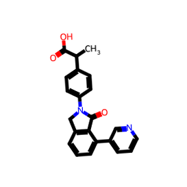 CC(C(=O)O)c1ccc(N2Cc3cccc(-c4cccnc4)c3C2=O)cc1